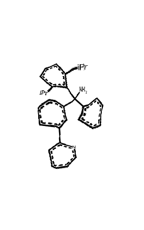 CC(C)c1cccc(C(C)C)c1C(N)(c1ccccc1)c1cccc(-c2ccccn2)c1